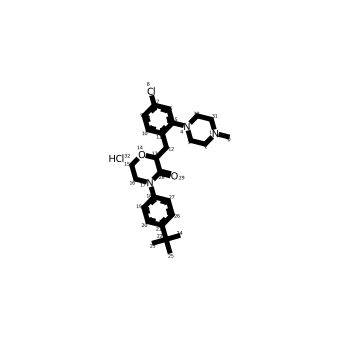 CN1CCN(c2cc(Cl)ccc2CC2OCCN(c3ccc(C(C)(C)C)cc3)C2=O)CC1.Cl